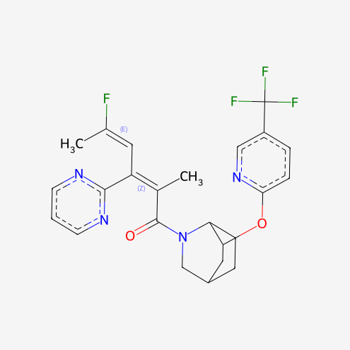 C/C(C(=O)N1CC2CCC1C(Oc1ccc(C(F)(F)F)cn1)C2)=C(\C=C(/C)F)c1ncccn1